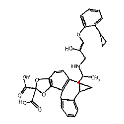 CC(Cc1ccc2c(c1-c1ccccc1C1CC1)OC(C(=O)O)(C(=O)O)O2)NCC(O)COc1ccccc1C1CC1